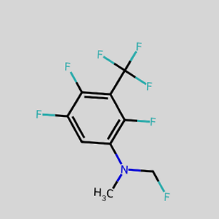 CN(CF)c1cc(F)c(F)c(C(F)(F)F)c1F